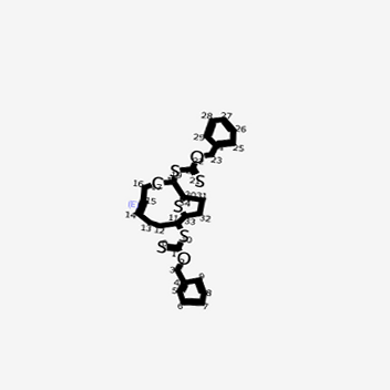 S=C(OCc1ccccc1)SC1CC/C=C/CCC(SC(=S)OCc2ccccc2)C2CCC1S2